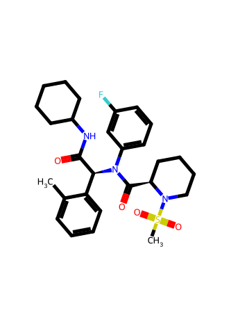 Cc1ccccc1[C@@H](C(=O)NC1CCCCC1)N(C(=O)[C@H]1CCCCN1S(C)(=O)=O)c1cccc(F)c1